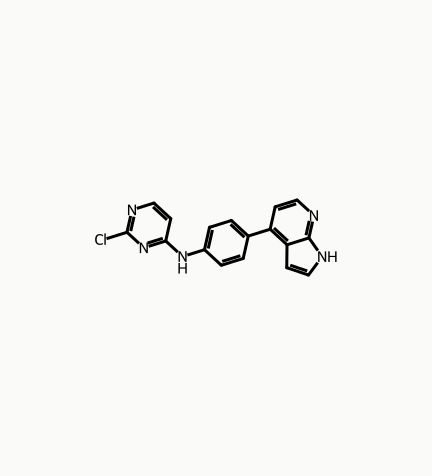 Clc1nccc(Nc2ccc(-c3ccnc4[nH]ccc34)cc2)n1